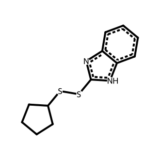 c1ccc2[nH]c(SSC3CCCC3)nc2c1